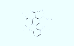 CCC(C)Cc1ccc(C#N)c(C(N)=S)c1C(N)=S.O=[N+]([O-])c1cccc([N+](=O)[O-])c1